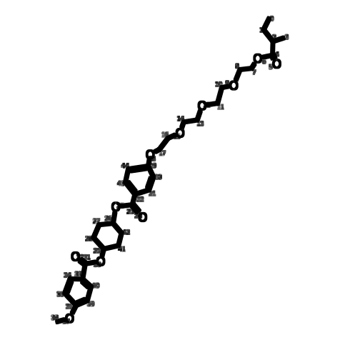 CCC(C)C(=O)OCCOCCOCCOCCOc1ccc(C(=O)OC2CCC(OC(=O)c3ccc(OC)cc3)CC2)cc1